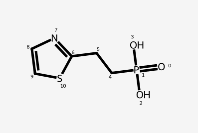 O=P(O)(O)CCc1nccs1